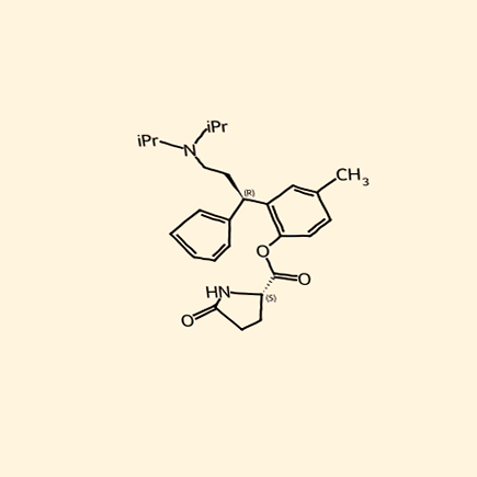 Cc1ccc(OC(=O)[C@@H]2CCC(=O)N2)c([C@H](CCN(C(C)C)C(C)C)c2ccccc2)c1